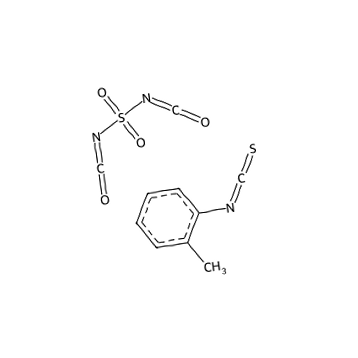 Cc1ccccc1N=C=S.O=C=NS(=O)(=O)N=C=O